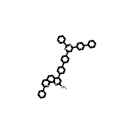 Cc1cc(-c2ccc(-c3ccc(-c4cc(-c5ccc(-c6ccccc6)cc5)nc(-c5ccccc5)n4)cc3)cc2)c2ccc3ccc(-c4ccccc4)nc3c2n1